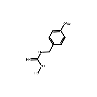 COc1ccc(CNC(=N)NO)cc1